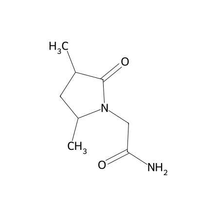 CC1CC(C)N(CC(N)=O)C1=O